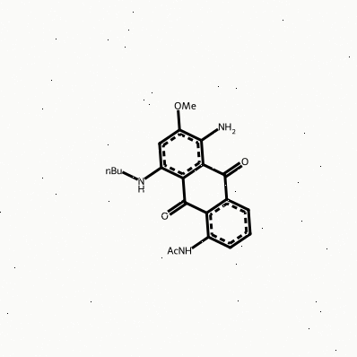 CCCCNc1cc(OC)c(N)c2c1C(=O)c1c(NC(C)=O)cccc1C2=O